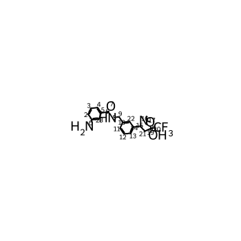 Nc1cccc(C(=O)NCc2cccc(C3=NOC(O)(C(F)(F)F)C3)c2)c1